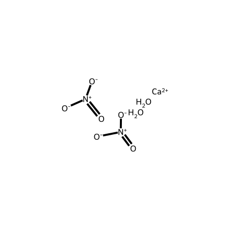 O.O.O=[N+]([O-])[O-].O=[N+]([O-])[O-].[Ca+2]